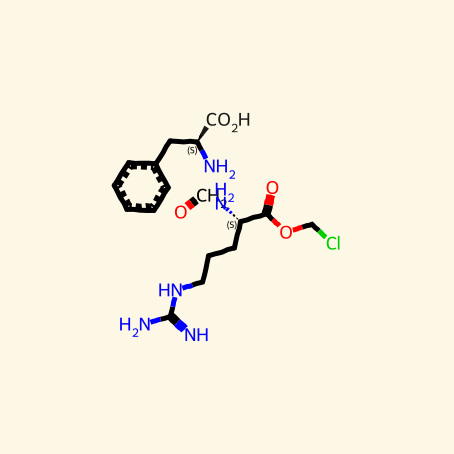 C=O.N=C(N)NCCC[C@H](N)C(=O)OCCl.N[C@@H](Cc1ccccc1)C(=O)O